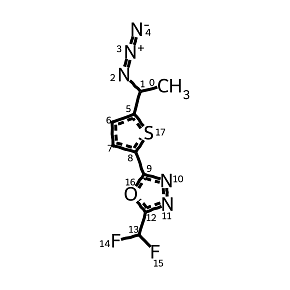 CC(N=[N+]=[N-])c1ccc(-c2nnc(C(F)F)o2)s1